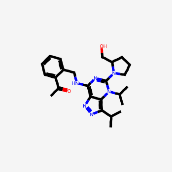 CC(=O)c1ccccc1CNc1nc(N2CCCC2CO)n(C(C)C)c2c(C(C)C)nnc1-2